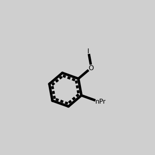 CCCc1ccccc1OI